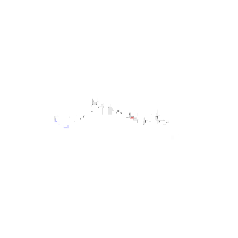 CCCCC/C=C\C/C=C\CCCCCCCCOCC(CN1CCCCC1)OCCNC(=O)COCC(=O)OC1CC[C@@]2(C)C(=CCC3C2CC[C@]2(C)C([C@@H](C)CCCC(C)C)CC[C@H]32)C1